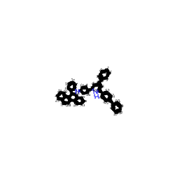 C1=CCCC(C2=CC(c3ccc(-n4c5ccccc5c5c6c7ccccc7ccc6c6ccccc6c54)cc3)NC(c3ccc(-c4ccccc4)cc3)=C2)=C1